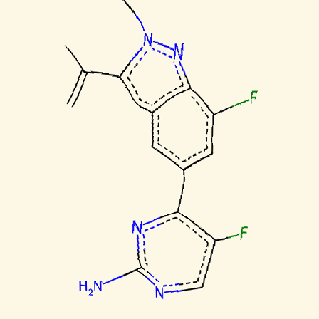 C=C(C)c1c2cc(-c3nc(N)ncc3F)cc(F)c2nn1C